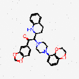 O=C(c1ccc2c(c1)OCO2)C(C1CCc2ccccc2N1)N1CCN(c2cccc3c2OCCO3)CC1